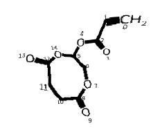 C=CC(=O)OC1COC(=O)CCC(=O)O1